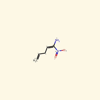 C=CCC=C(N)[N+](=O)[O-]